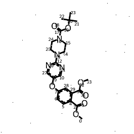 COC(=O)c1ccc(Oc2cnc(N3CCN(C(=O)OC(C)(C)C)CC3)nc2)cc1C(=O)OC